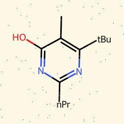 CCCc1nc(O)c(C)c(C(C)(C)C)n1